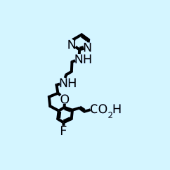 O=C(O)C=Cc1cc(F)cc2c1OC(CNCCCNc1ncccn1)CC2